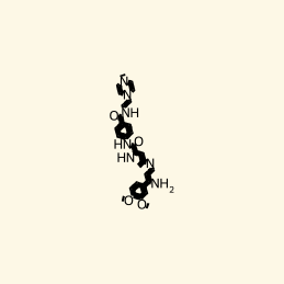 COc1ccc(/C(N)=C/C=N\C(C)=C\C(=N)C(=O)Nc2ccc(C(=O)NCCN3CCN(C)CC3)cc2)cc1OC